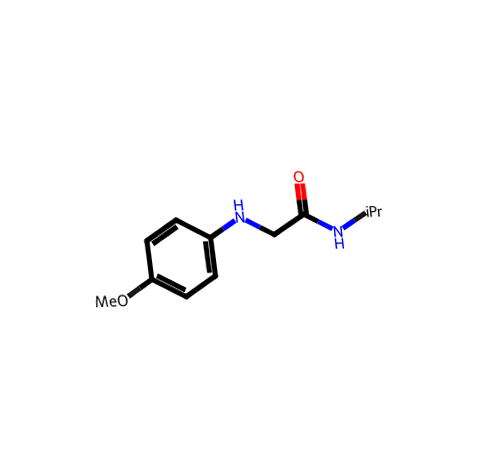 COc1ccc(NCC(=O)NC(C)C)cc1